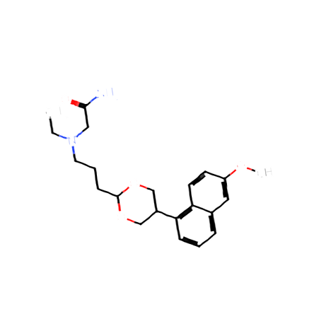 CCN(CCCC1OCC(c2cccc3cc(OC)ccc23)CO1)CC(N)=O